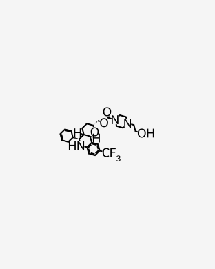 O=C(OC[C@H]1CC[C@@H]2[C@H](O1)c1cc(C(F)(F)F)ccc1N[C@H]2C1C=CC=CC1)N1CCN(CCO)CC1